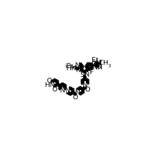 CCN(C)S(=O)(=O)Nc1cccc(-c2nc(C3CCN(C(=O)C4CCN(C(=O)C5CCN(c6ccc(C7CCC(=O)NC7=O)cn6)CC5)CC4)CC3)sc2-c2ccnc(NC(C)C)n2)c1F